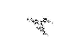 CCN/C=C(\C)CN(Cc1cn(C)nn1)Cc1cn(CC)nn1